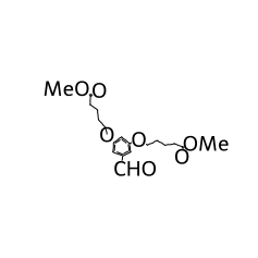 COC(=O)CCCCOc1cc(C=O)cc(OCCCCC(=O)OC)c1